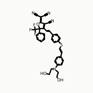 N#CC(C#N)=C1OC(c2ccccc2)(C(F)(F)F)C(/C=C/c2ccc(S/C=C/c3ccc(N(CCO)CCO)cc3)cc2)=C1C#N